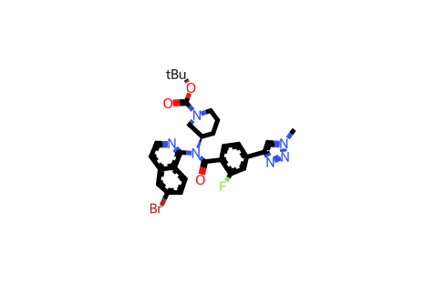 Cn1cc(-c2ccc(C(=O)N(c3nccc4cc(Br)ccc34)[C@@H]3CCCN(C(=O)OC(C)(C)C)C3)c(F)c2)nn1